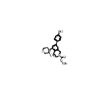 C[C@H]1COCCN1c1cc(-c2ccc(N=O)cc2)cc2c1CCN(C(=O)OC(C)(C)C)C2